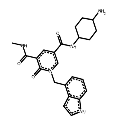 CNC(=O)c1cc(C(=O)NC2CCC(N)CC2)cn(Cc2cccc3[nH]ccc23)c1=O